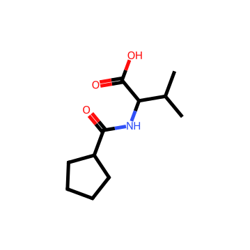 CC(C)C(NC(=O)C1CCCC1)C(=O)O